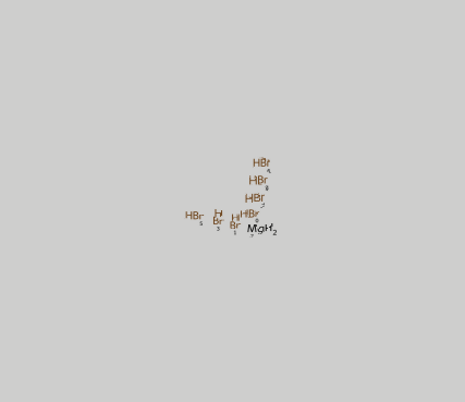 Br.Br.Br.Br.Br.Br.Br.[MgH2]